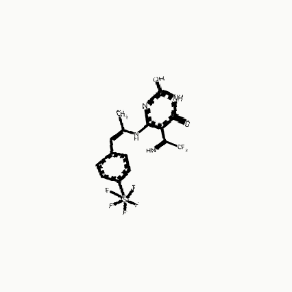 CC(=Cc1ccc(S(F)(F)(F)(F)F)cc1)Nc1nc(O)[nH]c(=O)c1C(=N)C(F)(F)F